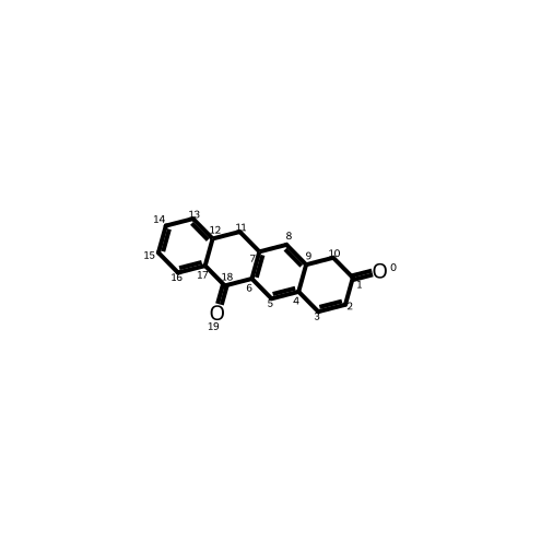 O=C1C=Cc2cc3c(cc2C1)Cc1ccccc1C3=O